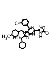 CC1CCC(Cn2c(C(O)C3CCCCC3)nc3nc(-c4noc(=O)[nH]4)nc(-c4cccc(Cl)c4)c32)CC1